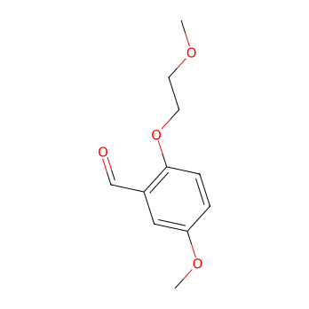 COCCOc1ccc(OC)cc1C=O